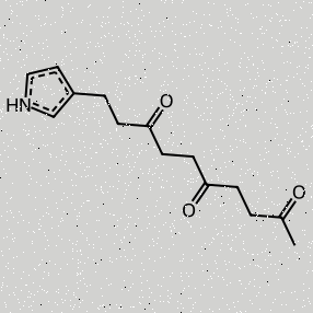 CC(=O)CCC(=O)CCC(=O)CCc1cc[nH]c1